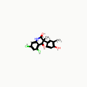 CC1(c2ccc(O)c([N+](=O)[O-])c2)C(=O)Nc2cc(Cl)cc(Cl)c2C1=O